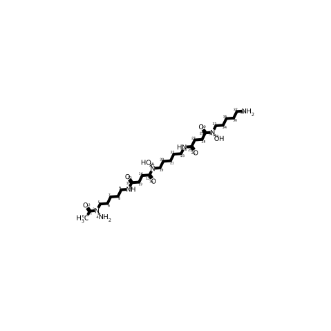 CC(=O)N(N)CCCCCNC(=O)CCC(=O)N(O)CCCCCNC(=O)CCC(=O)N(O)CCCCCN